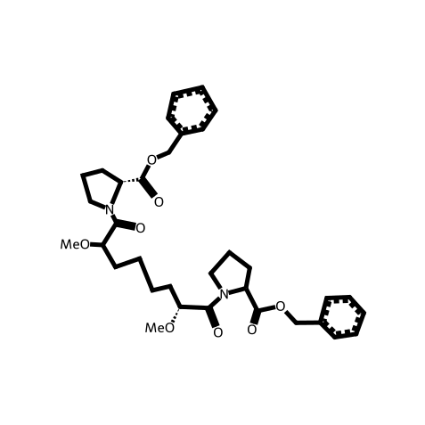 COC(CCCC[C@@H](OC)C(=O)N1CCCC1C(=O)OCc1ccccc1)C(=O)N1CCC[C@@H]1C(=O)OCc1ccccc1